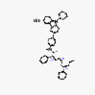 C=C/C=C(\C/C=C\C=C(\c1ccccc1)C(C)Nc1ccc(-c2ccc3c(c2)c2cc(C(C)(C)C)ccc2n3-c2ccccc2)cc1)c1ccccc1